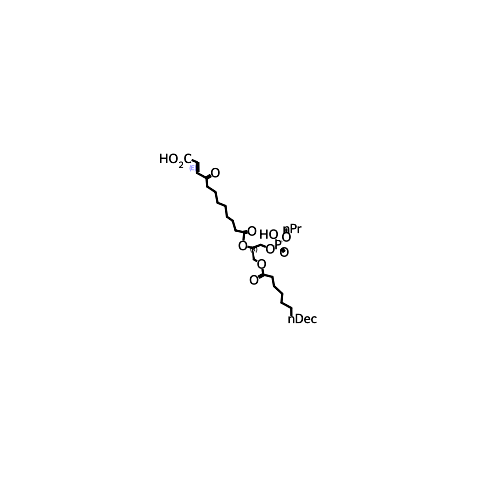 CCCCCCCCCCCCCCCC(=O)OC[C@H](COP(=O)(O)OCCC)OC(=O)CCCCCCCC(=O)/C=C/C(=O)O